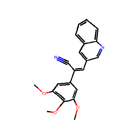 COc1cc(C(C#N)=Cc2cnc3ccccc3c2)cc(OC)c1OC